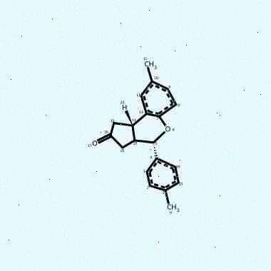 Cc1ccc([C@H]2Oc3ccc(C)cc3[C@H]3CC(=O)CC32)cc1